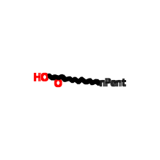 CCCCCC=CCC=CCCCCCC=CC(=O)C=CCO